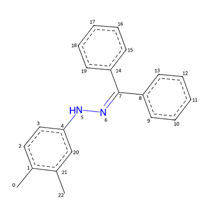 Cc1ccc(NN=C(c2ccccc2)c2ccccc2)cc1C